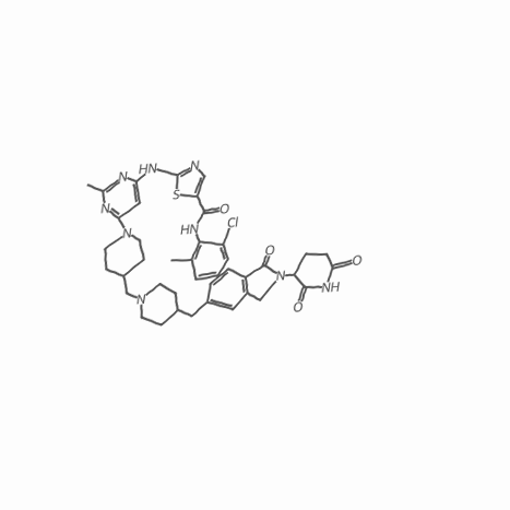 Cc1nc(Nc2ncc(C(=O)Nc3c(C)cccc3Cl)s2)cc(N2CCC(CN3CCC(Cc4ccc5c(c4)CN(C4CCC(=O)NC4=O)C5=O)CC3)CC2)n1